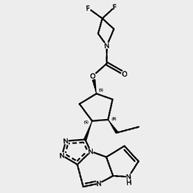 CC[C@@H]1C[C@H](OC(=O)N2CC(F)(F)C2)C[C@@H]1c1nnc2n1C1C=CNC1N=C2